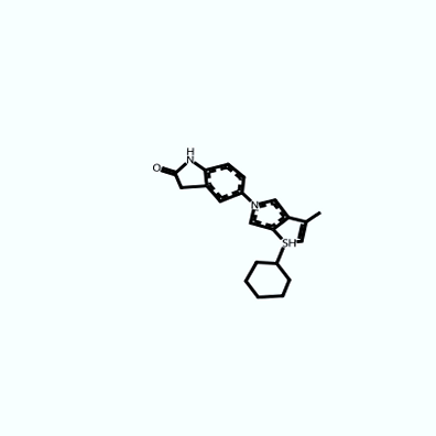 CC1=C[SH](C2CCCCC2)c2cn(-c3ccc4c(c3)CC(=O)N4)cc21